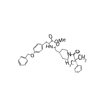 COC(=O)[C@H](Cc1ccc(OCc2ccccc2)cc1)NC(=O)CC1CCN(C(=O)C(C)(C)c2ccccc2)CC1